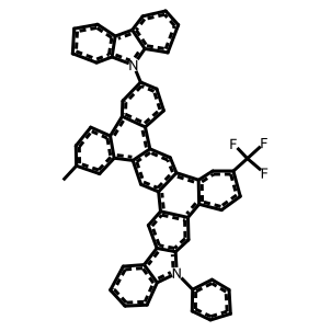 Cc1ccc2c(c1)c1cc3c(cc1c1ccc(-n4c5ccccc5c5ccccc54)cc21)c1cc(C(F)(F)F)ccc1c1cc2c(cc31)c1ccccc1n2-c1ccccc1